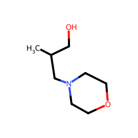 CC(CO)CN1CCOCC1